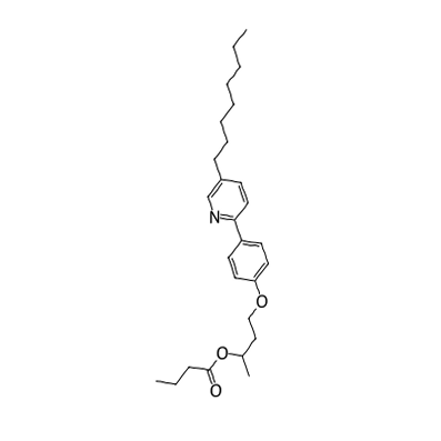 CCCCCCCCc1ccc(-c2ccc(OCCC(C)OC(=O)CCC)cc2)nc1